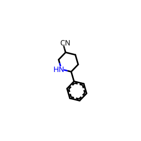 N#CC1CCC(c2ccccc2)NC1